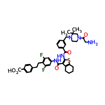 CC1(C)CN(C(=O)CN)CCN1Cc1cccc(C(=O)Nc2sc3c(c2C(=O)Nc2cc(F)c(CCc4ccc(C(=O)O)cc4)c(F)c2)CCCC3)c1